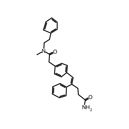 CN(CCc1ccccc1)C(=O)Cc1ccc(C=C(CCC(N)=O)c2ccccc2)cc1